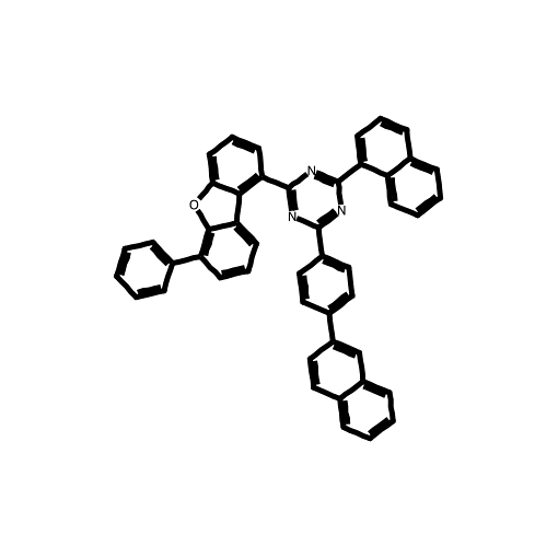 c1ccc(-c2cccc3c2oc2cccc(-c4nc(-c5ccc(-c6ccc7ccccc7c6)cc5)nc(-c5cccc6ccccc56)n4)c23)cc1